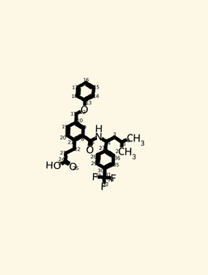 CC(C)CC(NC(=O)c1cc(COc2ccccc2)ccc1CCC(=O)O)c1ccc(C(F)(F)F)cc1